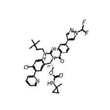 CC(C)(C)CCNC(=N)N(C(=O)c1ccc(-c2cnn(C(F)F)c2)cc1)[C@H](COC(=O)NC1(C)CC1)c1ccc(Cl)c(-c2ccccn2)c1